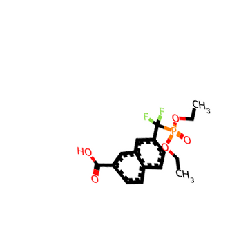 CCOP(=O)(OCC)C(F)(F)c1ccc2ccc(C(=O)O)cc2c1